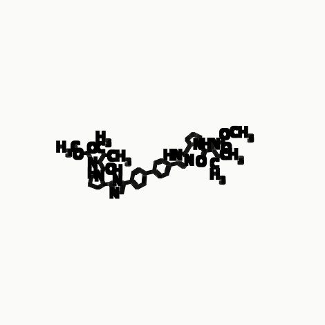 COC(=O)NC(C(=O)N1CCCC1c1ncc(-c2ccc(-c3ccc(-c4cnc(C5CCCN5C(=O)C(NC(=O)OC)C(C)C)[nH]4)cc3)cc2)[nH]1)C(C)C